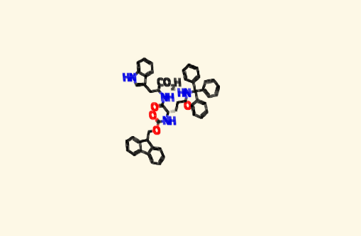 O=C(CC[C@H](NC(=O)OCC1c2ccccc2-c2ccccc21)C(=O)N[C@@H](Cc1c[nH]c2ccccc12)C(=O)O)NC(c1ccccc1)(c1ccccc1)c1ccccc1